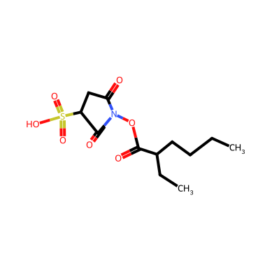 CCCCC(CC)C(=O)ON1C(=O)CC(S(=O)(=O)O)C1=O